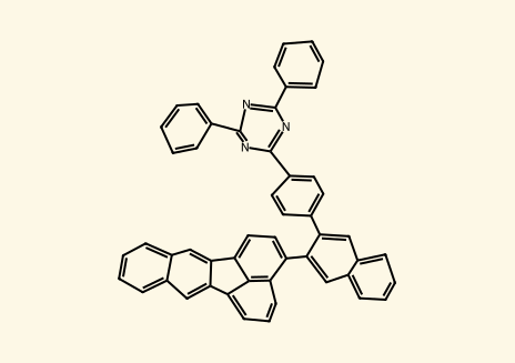 c1ccc(-c2nc(-c3ccccc3)nc(-c3ccc(-c4cc5ccccc5cc4-c4ccc5c6c(cccc46)-c4cc6ccccc6cc4-5)cc3)n2)cc1